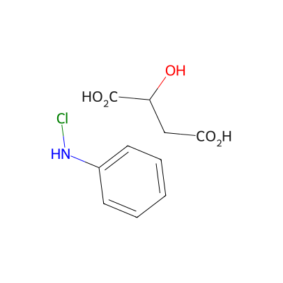 ClNc1ccccc1.O=C(O)CC(O)C(=O)O